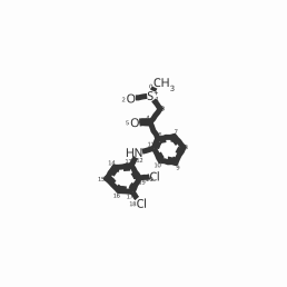 C[S+]([O-])CC(=O)c1ccccc1Nc1cccc(Cl)c1Cl